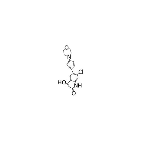 O=c1cc(O)c2cc(-c3ccc(N4CCOCC4)cc3)c(Cl)cc2[nH]1